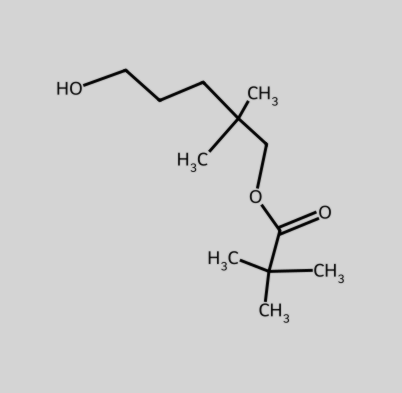 CC(C)(CCCO)COC(=O)C(C)(C)C